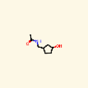 CC(=O)NCC1CCC(O)C1